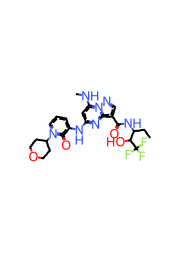 CCC(NC(=O)c1cnn2c(NC)cc(Nc3cccn(C4CCOCC4)c3=O)nc12)C(O)C(F)(F)F